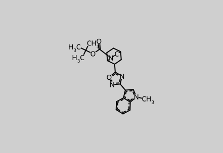 Cn1cc(-c2noc(C3CC4CCC3N(C(=O)OC(C)(C)C)C4)n2)c2ccccc21